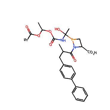 CC(OC(=O)NC(C)(O)P1CC(C(=O)O)N1C(=O)C(C)Cc1ccc(-c2ccccc2)cc1)OC(=O)C(C)C